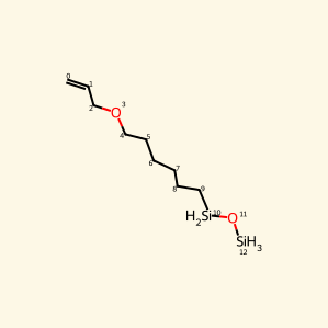 C=CCOCCCCCC[SiH2]O[SiH3]